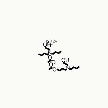 CC(=O)[O-].CC(=O)[O-].CCCCN(CCO)CCCC.CCCCN(CCO)CCCC.[Pd+2]